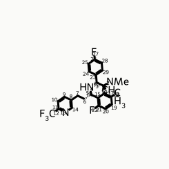 C=C(NC)[C@H](N[C@@H](CCc1ccc(C(F)(F)F)nc1)c1cc(C)ccc1F)c1ccc(F)cc1